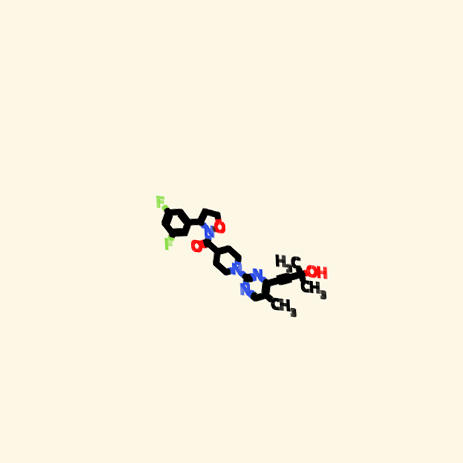 Cc1cnc(N2CCC(C(=O)N3OCCC3c3cc(F)cc(F)c3)CC2)nc1C#CC(C)(C)O